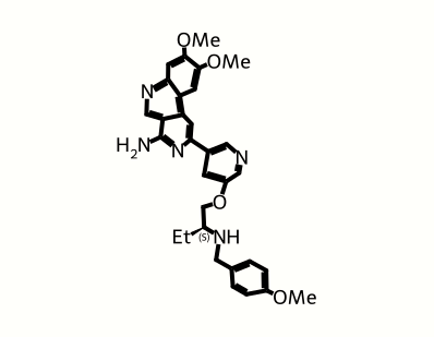 CC[C@@H](COc1cncc(-c2cc3c(cnc4cc(OC)c(OC)cc43)c(N)n2)c1)NCc1ccc(OC)cc1